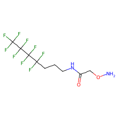 NOCC(=O)NCCCC(F)(F)C(F)(F)C(F)(F)C(F)(F)F